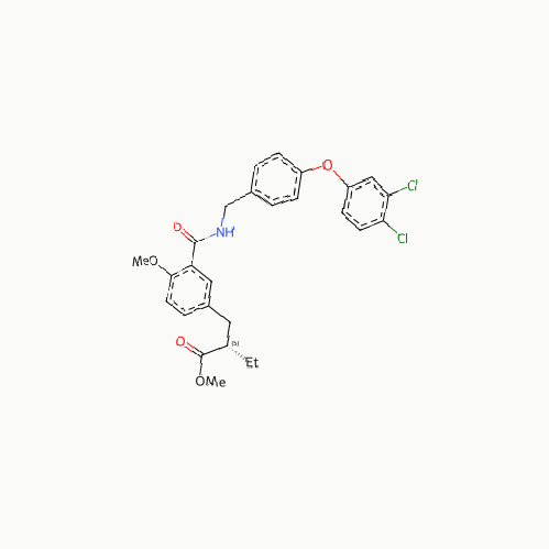 CC[C@@H](Cc1ccc(OC)c(C(=O)NCc2ccc(Oc3ccc(Cl)c(Cl)c3)cc2)c1)C(=O)OC